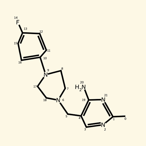 Cc1ncc(CN2CCN(c3ccc(F)cc3)CC2)c(N)n1